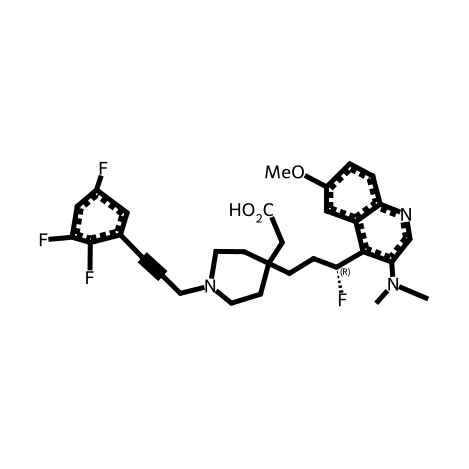 COc1ccc2ncc(N(C)C)c([C@H](F)CCC3(CC(=O)O)CCN(CC#Cc4cc(F)cc(F)c4F)CC3)c2c1